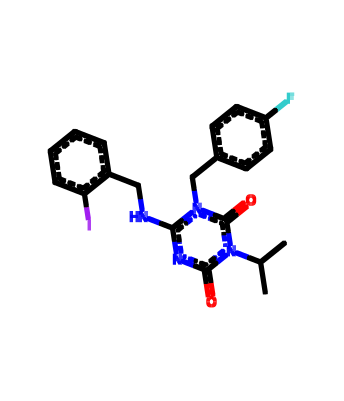 CC(C)n1c(=O)nc(NCc2ccccc2I)n(Cc2ccc(F)cc2)c1=O